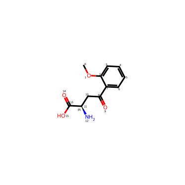 COc1ccccc1C(=O)C[C@@H](N)C(=O)O